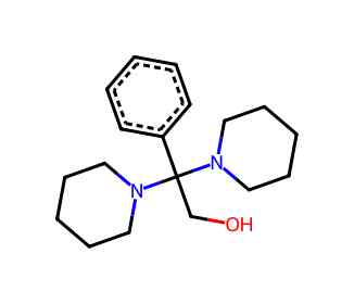 OCC(c1ccccc1)(N1CCCCC1)N1CCCCC1